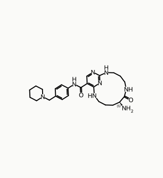 N[C@H]1CCCNc2nc(ncc2C(=O)Nc2ccc(CN3CCCCC3)cc2)NCCCNC1=O